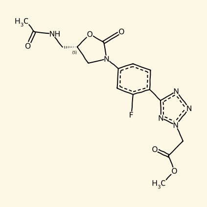 COC(=O)Cn1nnc(-c2ccc(N3C[C@H](CNC(C)=O)OC3=O)cc2F)n1